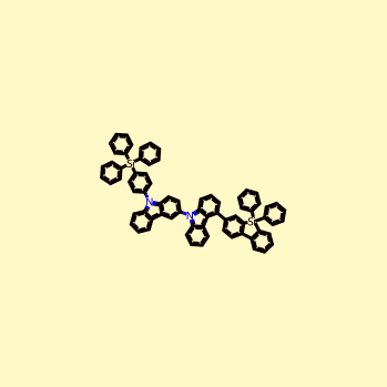 c1ccc([Si](c2ccccc2)(c2ccccc2)c2ccc(-n3c4ccccc4c4cc(-n5c6ccccc6c6c(-c7ccc8c(c7)[Si](c7ccccc7)(c7ccccc7)c7ccccc7-8)cccc65)ccc43)cc2)cc1